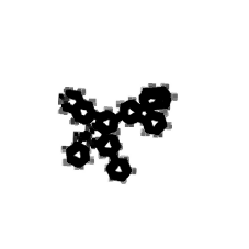 c1ccc(-c2cccc(-n3c(-n4c5ccc(-c6ccc7c(c6)-c6ccccc6C76C7CC8CC(C7)CC6C8)cc5c5cc6ccncc6cc54)nc4ccccc43)c2)cc1